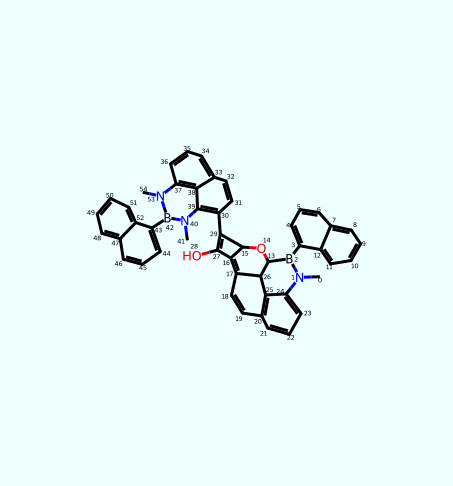 CN1B(c2cccc3ccccc23)C2OC3C(=C4C=Cc5cccc1c5C42)C(O)=C3c1ccc2cccc3c2c1N(C)B(c1cccc2ccccc12)N3C